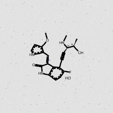 CN[C@H](C#Cc1c(F)ccc2c1/C(=C/c1[nH]ccc1OC)C(=O)N2)[C@@H](C)O.Cl